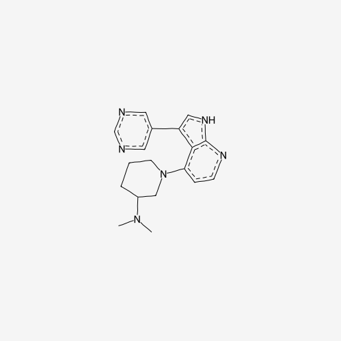 CN(C)C1CCCN(c2ccnc3[nH]cc(-c4cncnc4)c23)C1